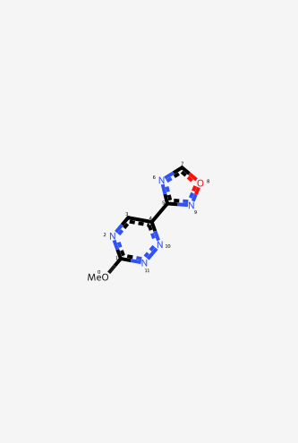 COc1ncc(-c2ncon2)nn1